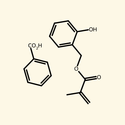 C=C(C)C(=O)OCc1ccccc1O.O=C(O)c1ccccc1